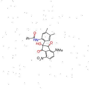 CNc1ccc([N+](=O)[O-])c2c1C(=O)C(O)(c1cc(C)c(C)cc1NC(=O)C(C)C)C2=O